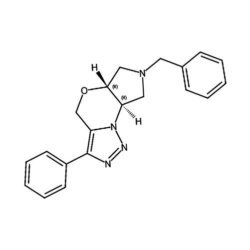 c1ccc(CN2C[C@@H]3[C@@H](C2)OCc2c(-c4ccccc4)nnn23)cc1